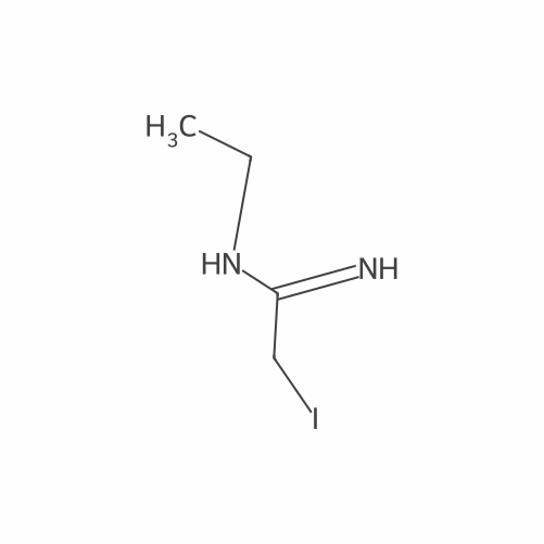 CCNC(=N)CI